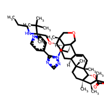 CCCN[C@@](C)(CO[C@H]1[C@H](n2ncnc2-c2ccncc2)C[C@@]23COC[C@]1(C)[C@@H]2CC[C@H]1C3=CC[C@]2(C)[C@H](OC(=O)O)[C@@](C)([C@H](C)C(C)C)CC[C@]12C)C(C)(C)C